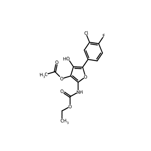 CCOC(=O)Nc1oc(-c2ccc(F)c(Cl)c2)c(O)c1OC(C)=O